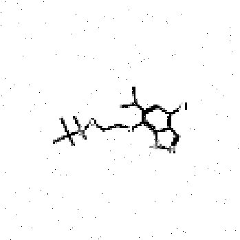 CC(C)c1cc(Cl)c2cn[nH]c2c1OCCO[Si](C)(C)C(C)(C)C